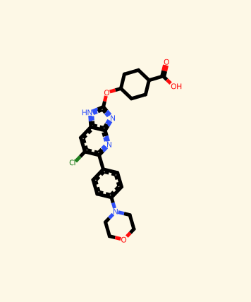 O=C(O)C1CCC(Oc2nc3nc(-c4ccc(N5CCOCC5)cc4)c(Cl)cc3[nH]2)CC1